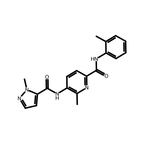 Cc1ccccc1NC(=O)c1ccc(NC(=O)c2ccnn2C)c(C)n1